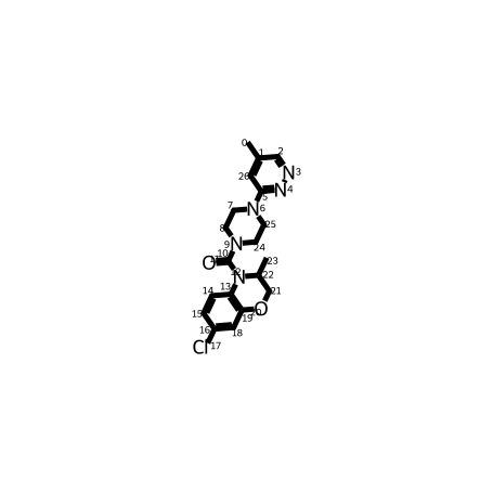 Cc1cnnc(N2CCN(C(=O)N3c4ccc(Cl)cc4OCC3C)CC2)c1